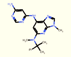 CC(C)C(C)(C)N(C)c1cc(Nc2cc(N)ncn2)c2ncn(C)c2n1